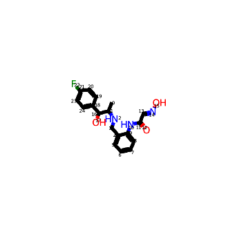 CC(NCc1ccccc1NC(=O)C=NO)C(O)c1ccc(F)cc1